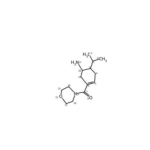 CC(C)C1CC=C(C(=O)N2CCOCC2)CC1N